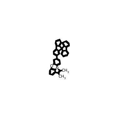 Cc1c(C)n2c3c(cccc13)Oc1cc(-c3ccc4c(c3)C3(c5ccccc5-c5ccccc53)c3ccccc3-4)ccc1-2